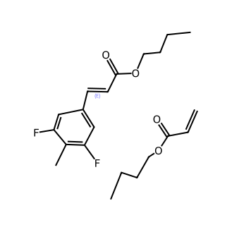 C=CC(=O)OCCCC.CCCCOC(=O)/C=C/c1cc(F)c(C)c(F)c1